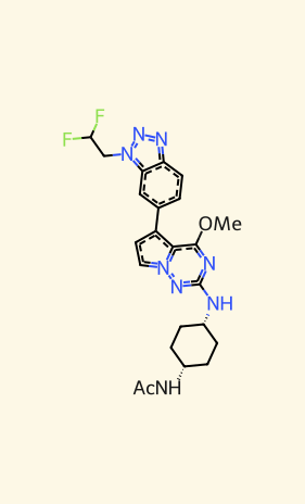 COc1nc(N[C@H]2CC[C@@H](NC(C)=O)CC2)nn2ccc(-c3ccc4nnn(CC(F)F)c4c3)c12